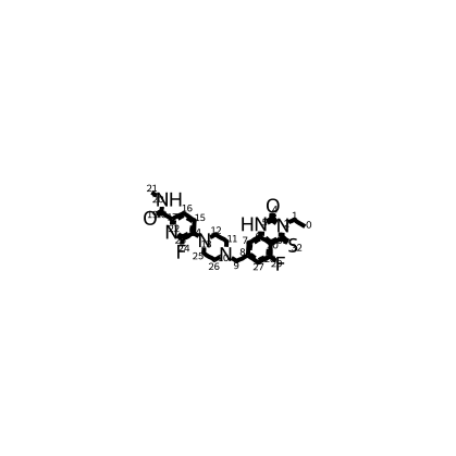 CCn1c(=O)[nH]c2cc(CN3CCN(c4ccc(C(=O)NC)nc4F)CC3)cc(F)c2c1=S